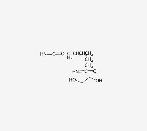 C.C.C.C.C.C.N=C=O.N=C=O.OCCO